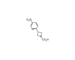 O=C(O)N1CC(c2ccc([N+](=O)[O-])cn2)C1